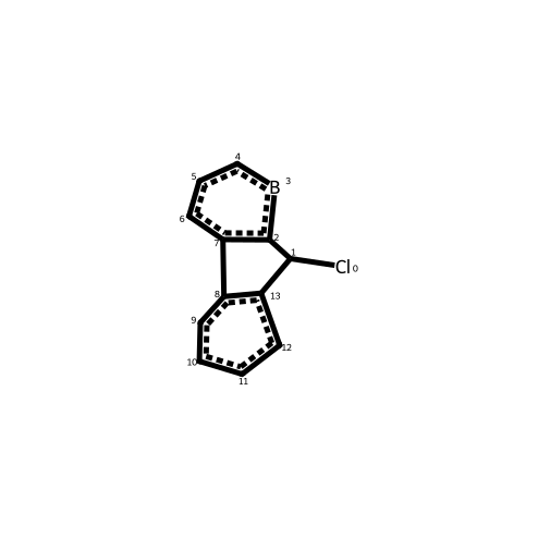 ClC1c2bcccc2-c2ccccc21